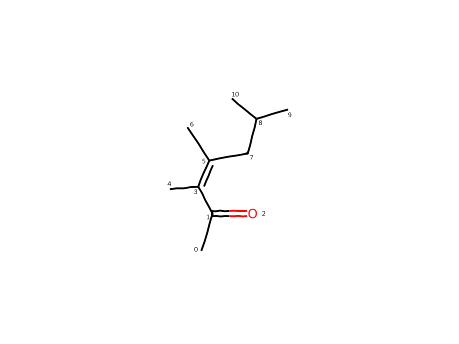 CC(=O)/C(C)=C(/C)CC(C)C